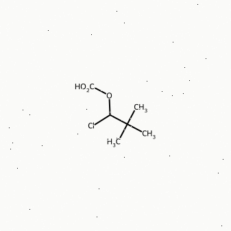 CC(C)(C)C(Cl)OC(=O)O